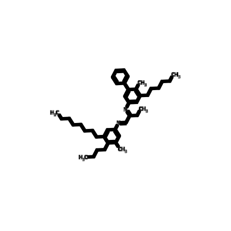 CCCCCCCCc1cc(N=CC(CC)=Nc2cc(CCCCCC)c(C)c(-c3ccccc3)c2)cc(C)c1CCCC